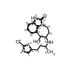 CC(CCc1cnc(Cl)s1)NC1CCn2c(=O)[nH]c3cccc(c32)C1O